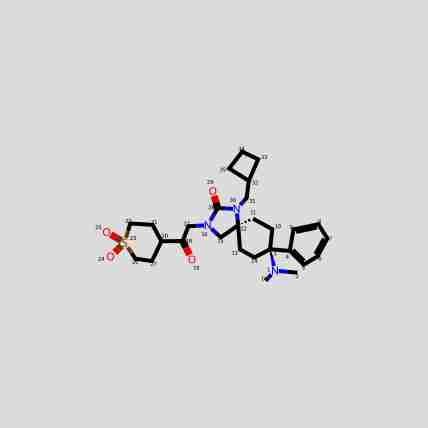 CN(C)[C@]1(c2ccccc2)CC[C@]2(CC1)CN(CC(=O)C1CCS(=O)(=O)CC1)C(=O)N2CC1CCC1